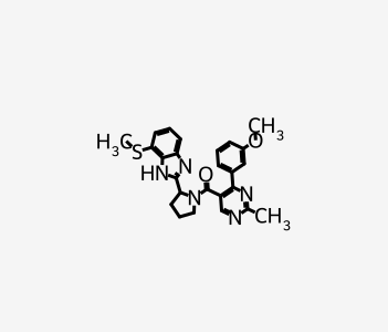 COc1cccc(-c2nc(C)ncc2C(=O)N2CCCC2c2nc3cccc(SC)c3[nH]2)c1